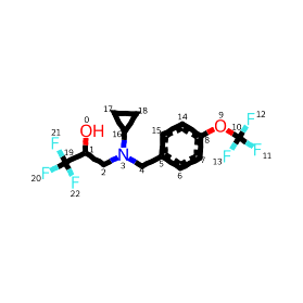 OC(CN(Cc1ccc(OC(F)(F)F)cc1)C1CC1)C(F)(F)F